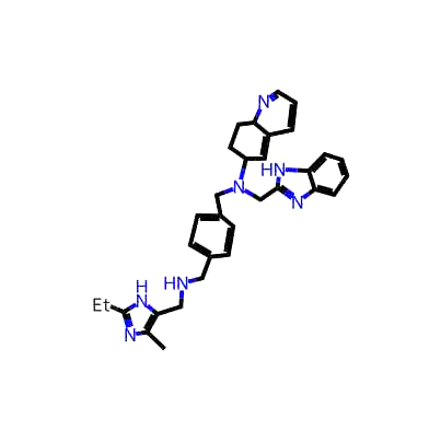 CCc1nc(C)c(CNCc2ccc(CN(Cc3nc4ccccc4[nH]3)C3C=C4C=CC=NC4CC3)cc2)[nH]1